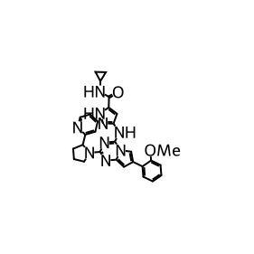 COc1ccccc1-c1cc2nc(N3CCCC3c3ccccn3)nc(Nc3cc(C(=O)NC4CC4)[nH]n3)n2c1